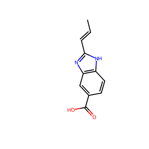 CC=Cc1nc2cc(C(=O)O)ccc2[nH]1